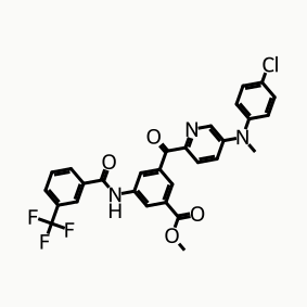 COC(=O)c1cc(NC(=O)c2cccc(C(F)(F)F)c2)cc(C(=O)c2ccc(N(C)c3ccc(Cl)cc3)cn2)c1